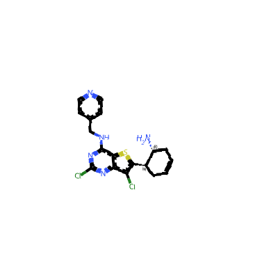 N[C@@H]1CC=CC[C@H]1c1sc2c(NCc3ccncc3)nc(Cl)nc2c1Cl